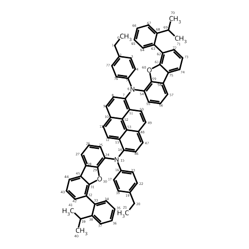 CCc1ccc(N(c2ccc3ccc4c(N(c5ccc(CC)cc5)c5cccc6c5oc5c(-c7ccccc7C(C)C)cccc56)ccc5ccc2c3c54)c2cccc3c2oc2c(-c4ccccc4C(C)C)cccc23)cc1